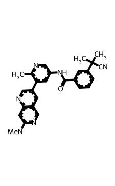 CNc1cc2ncc(-c3cc(NC(=O)c4cccc(C(C)(C)C#N)c4)cnc3C)cc2cn1